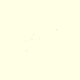 Clc1ccc(Oc2nccs2)c(Br)c1